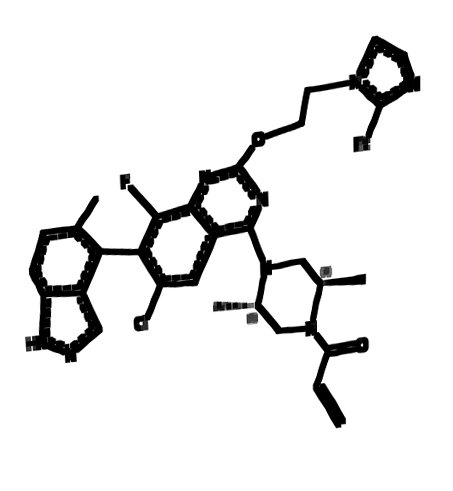 C=CC(=O)N1C[C@H](C)N(c2nc(OCCn3ccnc3CC)nc3c(F)c(-c4c(C)ccc5[nH]ncc45)c(Cl)cc23)C[C@H]1C